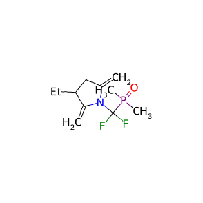 C=C1CC(CC)C(=C)N1C(F)(F)P(C)(C)=O